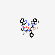 CC[C@H](C)[C@@H](C(=O)N[C@@H](Cc1ccccc1)C[C@@H](O)[C@H](Cc1ccccc1)NC(=O)O)N1CCN(Cc2ccnc3ccccc23)C1=O